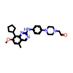 COc1cc(C)c2cnc(Nc3ccc(N4CCN(CC=O)CC4)cc3)nc2c1C1CCCC1